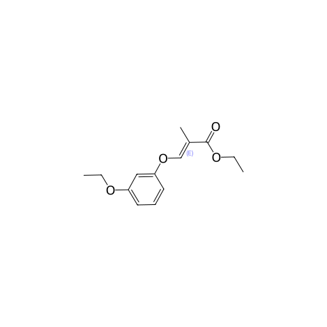 CCOC(=O)/C(C)=C/Oc1cccc(OCC)c1